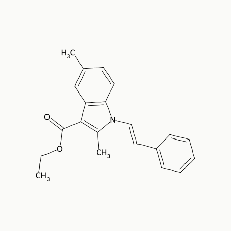 CCOC(=O)c1c(C)n(C=Cc2ccccc2)c2ccc(C)cc12